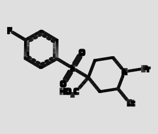 CCC1CC(C(=O)O)(S(=O)(=O)c2ccc(F)cc2)CCN1C(C)C